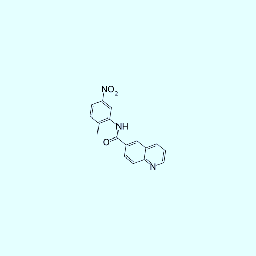 Cc1ccc([N+](=O)[O-])cc1NC(=O)c1ccc2ncccc2c1